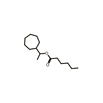 CCCC[CH]C(=O)OC(C)C1CCCCCC1